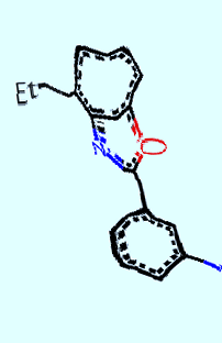 CCc1cccc2oc(-c3cccc(N)c3)nc12